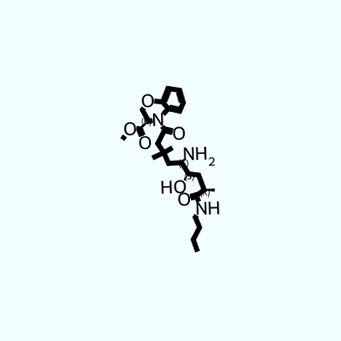 CCCCNC(=O)[C@H](C)C[C@H](O)[C@@H](N)CC(C)(C)CC(=O)N1c2ccccc2OC[C@@H]1C(=O)OC